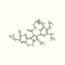 CCOC(=O)c1c(-c2cc(OC)c(OC)c(OC)c2)c(C)n2c1-c1cc(Cl)c(OC)cc1CC2